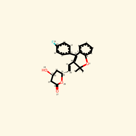 CC1(C)Oc2ccccc2C(c2ccc(F)cc2)=C1C=C[C@H]1C[C@H](O)CC(=O)O1